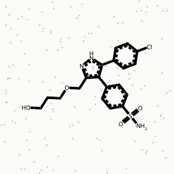 NS(=O)(=O)c1ccc(-c2c(COCCCO)n[nH]c2-c2ccc(Cl)cc2)cc1